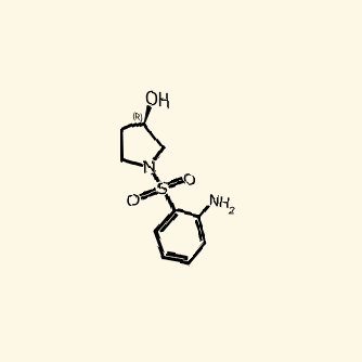 Nc1ccccc1S(=O)(=O)N1CC[C@@H](O)C1